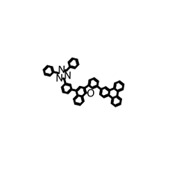 c1ccc(-c2nc(-c3ccccc3)nc(-c3cccc(-c4cc5c6cccc(-c7ccc8c9ccccc9c9ccccc9c8c7)c6oc5c5ccccc45)c3)n2)cc1